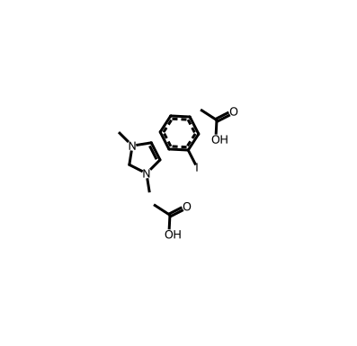 CC(=O)O.CC(=O)O.CN1C=CN(C)C1.Ic1ccccc1